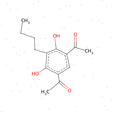 CCCCc1c(O)c(C(C)=O)cc(C(C)=O)c1O